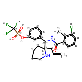 C=CC[C@]1([C@@H](NC(=O)c2cccc(Cl)c2C)c2cccc(OS(=O)(=O)C(F)(F)F)c2)CCCCN1